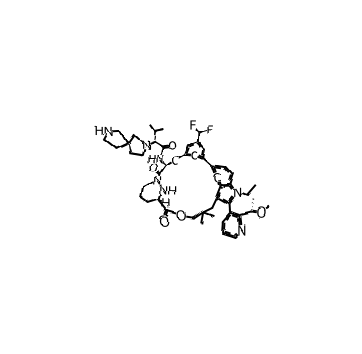 CCn1c(-c2cccnc2[C@H](C)OC)c2c3cc(ccc31)-c1cc(cc(C(F)F)c1)C[C@H](NC(=O)[C@H](C(C)C)N1CC[C@]3(CCNC3)C1)C(=O)N1CCC[C@H](N1)C(=O)OCC(C)(C)C2